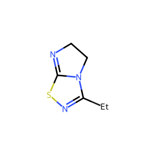 CCC1=NSC2=NCCN12